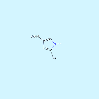 CC(=O)Nc1cc(C(C)C)n(C)c1